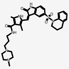 Cc1[nH]c(/C=C2\C(=O)Nc3ccc(S(=O)(=O)N4CCCc5ccccc54)cc32)c(C)c1C(=O)NCCCN1CCN(C)CC1